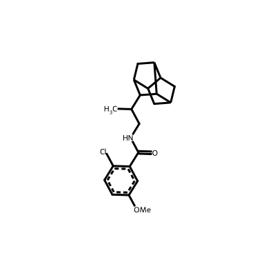 COc1ccc(Cl)c(C(=O)NCC(C)C2C3CC4C5CC(CC53)C42)c1